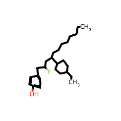 CCCCCCCCC(CC(F)Cc1ccc(O)cc1)C1CCC(CC)CC1